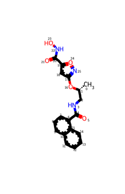 C[C@H](CNC(=O)c1cccc2ccccc12)Oc1cc(C(=O)NO)on1